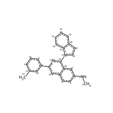 CNc1ccc2nc(-c3cccc(C)c3)nc(-n3ccc4cnccc43)c2c1